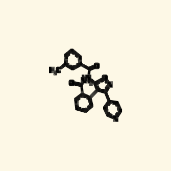 Cc1cccc(C(=O)Nc2onc(-c3ccncc3)c2-c2ccccc2C(N)=O)c1